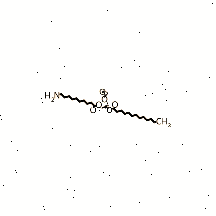 CCCCCCCCCCCCC(=O)O[C@@H](COP=O)COC(=O)CCCCCCCCCN